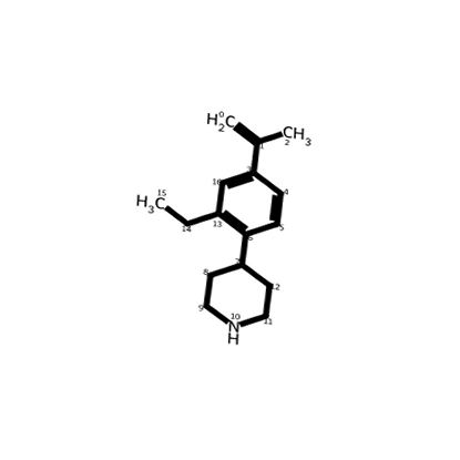 C=C(C)c1ccc(C2CCNCC2)c(CC)c1